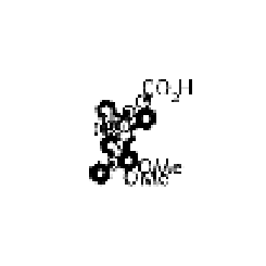 COc1ccc(CC[C@@H](OC(=O)C2CCCCN2S(=O)(=O)c2ccc(Oc3ccccc3)nc2)c2cccc(OCC(=O)O)c2)cc1OC